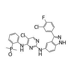 CP(C)(=O)c1ccccc1Nc1nc(Nc2ccc3[nH]nc(-c4ccc(F)c(Cl)c4)c3c2)ncc1Cl